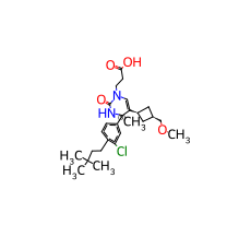 COC[C@H]1C[C@@H](C2=CN(CCC(=O)O)C(=O)N[C@@]2(C)c2ccc(CCC(C)(C)C)c(Cl)c2)C1